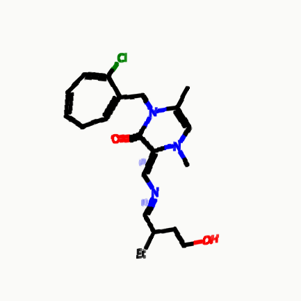 CCC(/C=N/C=C1/C(=O)N(CC2=CCC=CC=C2Cl)C(C)=CN1C)CCO